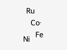 [Co].[Fe].[Ni].[Ru]